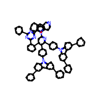 c1ccc(-c2ccc3c(c2)c2cc(-c4ccccc4)ccc2n3-c2ccc(-c3nc(-n4c5ccccc5c5cnccc54)cc(-c4ccccc4-c4nc(-c5ccccc5)nc(-c5ccccc5)n4)c3-c3ccc(-n4c5ccc(-c6ccccc6)cc5c5cc(-c6ccccc6)ccc54)cc3)cc2)cc1